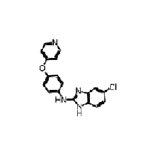 Clc1ccc2[nH]c(Nc3ccc(Oc4ccncc4)cc3)nc2c1